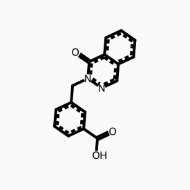 O=C(O)c1cccc(Cn2ncc3ccccc3c2=O)c1